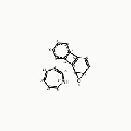 C1=CC2OC2C2=C1c1ccccc12.C1=CC=CNC=C1